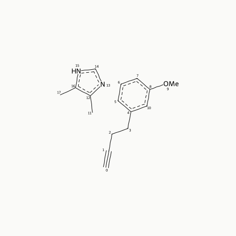 C#CCCc1cccc(OC)c1.Cc1nc[nH]c1C